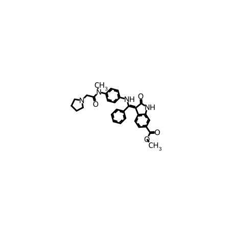 COC(=O)c1ccc2c(c1)NC(=O)/C2=C(\Nc1ccc(N(C)C(=O)CN2CCCC2)cc1)c1ccccc1